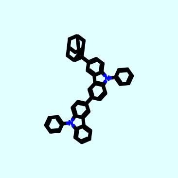 c1ccc(-n2c3ccccc3c3cc(-c4ccc5c(c4)c4cc(C6C7CC8CC(C7)CC6C8)ccc4n5-c4ccccc4)ccc32)cc1